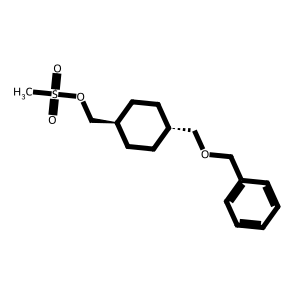 CS(=O)(=O)OC[C@H]1CC[C@H](COCc2ccccc2)CC1